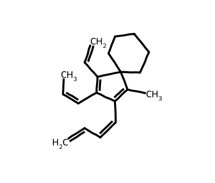 C=C/C=C\C1=C(C)C2(CCCCC2)C(C=C)=C1/C=C\C